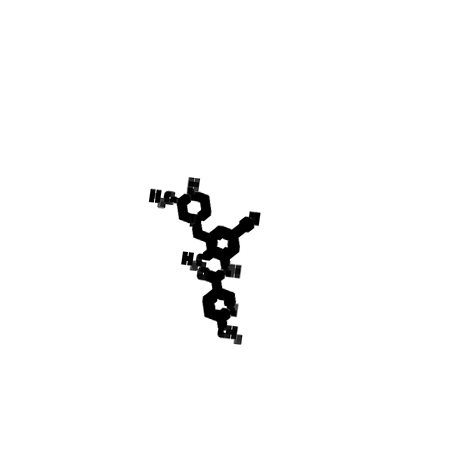 Cc1ccc(C(=O)Nc2cc(C#N)cc(CN3CCN[C@@H](C)C3)c2C)cn1